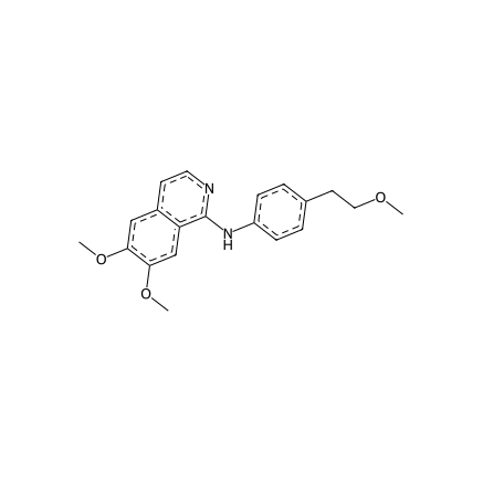 COCCc1ccc(Nc2nccc3cc(OC)c(OC)cc23)cc1